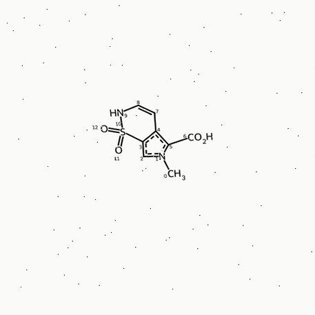 Cn1cc2c(c1C(=O)O)C=CNS2(=O)=O